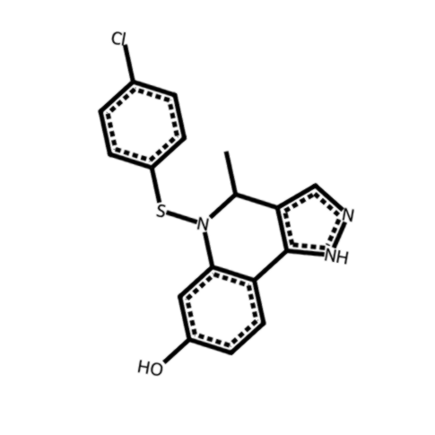 CC1c2cn[nH]c2-c2ccc(O)cc2N1Sc1ccc(Cl)cc1